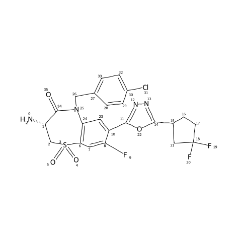 N[C@H]1CS(=O)(=O)c2cc(F)c(-c3nnc(C4CCC(F)(F)C4)o3)cc2N(Cc2ccc(Cl)cc2)C1=O